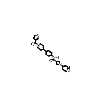 O=C(Nc1ccc(C2CCN(C(=O)c3ccsc3)CC2)cc1)C1CN(c2ccnnc2)C1